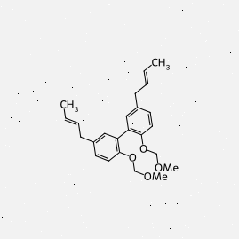 C/C=C/Cc1ccc(OCOC)c(-c2cc(C/C=C/C)ccc2OCOC)c1